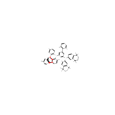 Cc1cccc(C)c1-c1cc2c3c(c1)N(c1ccc(C(C)(C)C)cc1-c1ccccc1)c1c(ccc4c1sc1cc(C(C)(C)C)ccc14)B3c1cc3c(cc1N2c1ccc2c(c1)C(C)(C)CCC2(C)C)C(C)(C)CCC3(C)C